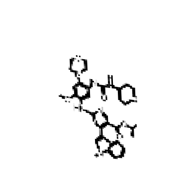 COc1cc(N2CCOCC2)c(NC(=O)NC2CCOCC2)cc1Nc1ncc(C(=O)OC(C)C)c(-c2cn(C)c3ccccc23)n1